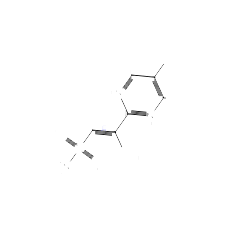 C/C(=C\S(N)(=O)=O)c1ncc(F)cn1